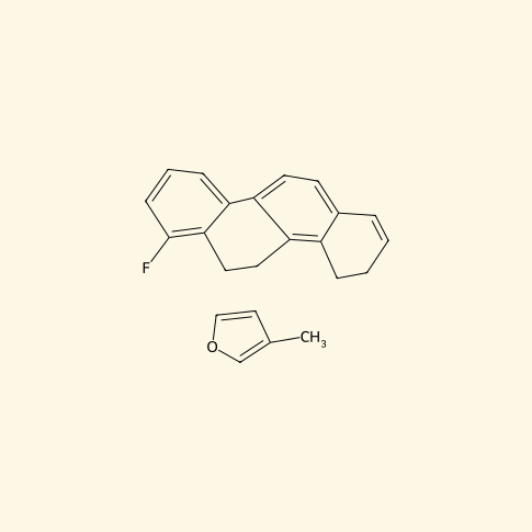 Cc1ccoc1.Fc1cccc2c1CCc1c-2ccc2c1CCC=C2